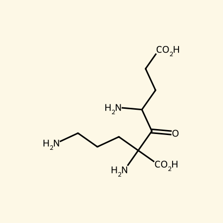 NCCCC(N)(C(=O)O)C(=O)C(N)CCC(=O)O